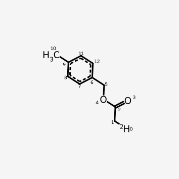 [2H]CC(=O)OCc1ccc(C)cc1